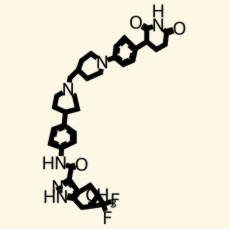 CC12Cc3[nH]nc(C(=O)Nc4ccc(C5CCN(CC6CCN(c7ccc(C8CCC(=O)NC8=O)cc7)CC6)CC5)cc4)c3CC1C2(F)F